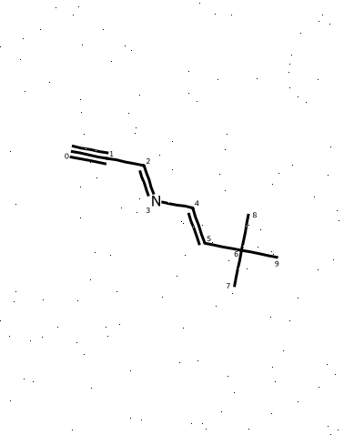 C#C/C=N/C=C/C(C)(C)C